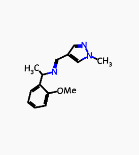 COc1ccccc1C(C)N=Cc1cnn(C)c1